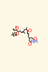 C=C[C@H](OC)[C@@H](O[Si](C)(C)C(C)(C)C)[C@H](C)/C=C(/C)[C@H](C)C(C)C(=O)/C=C/CC1CC(=O)NC(=O)C1